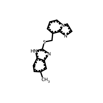 Cc1ccc2[nH]c(SCc3cccn4ccnc34)nc2c1